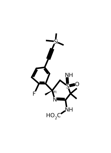 CC1(C)C(NC(=O)O)=N[C@](C)(c2cc(C#C[Si](C)(C)C)ccc2F)CS1(=N)=O